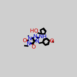 CCn1c(=O)c2c(nc(NC3(CO)CC=CC3)n2Cc2ccc(OC)cc2)n(C)c1=O